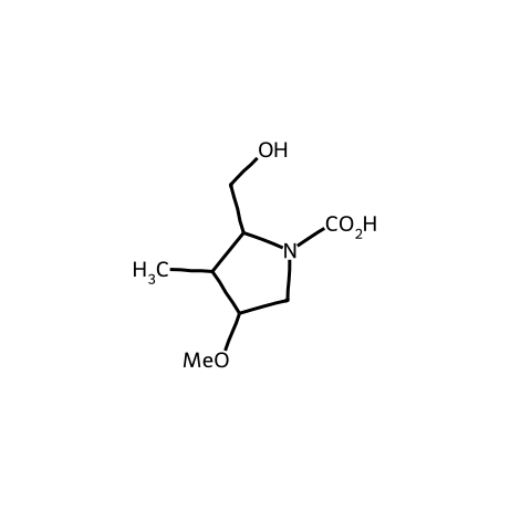 COC1CN(C(=O)O)C(CO)C1C